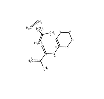 C=C.C=C(C)C(=O)O.C=C(C)C(=O)OC1=CCCCC1